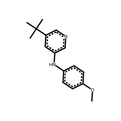 COc1ccc(Nc2cncc(C(C)(C)C)c2)cc1